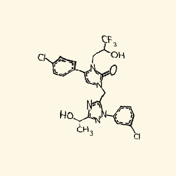 C[C@H](O)c1nc(Cn2cc(-c3ccc(Cl)cc3)n(CC(O)C(F)(F)F)c2=O)n(-c2cccc(Cl)c2)n1